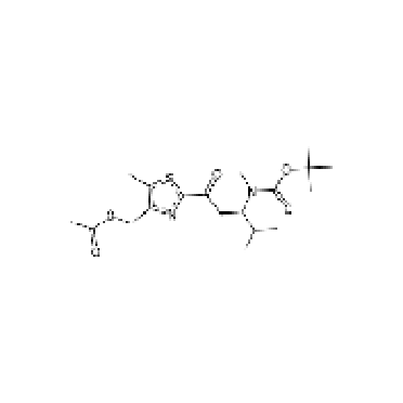 CC(=O)OCc1nc(C(=O)C[C@H](C(C)C)N(C)C(=O)OC(C)(C)C)sc1C